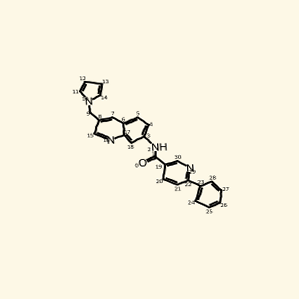 O=C(Nc1ccc2cc(Cn3cccc3)cnc2c1)c1ccc(-c2ccccc2)nc1